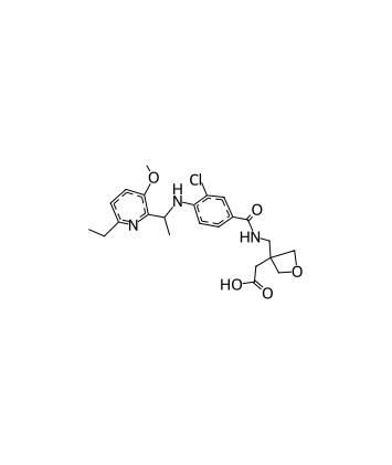 CCc1ccc(OC)c(C(C)Nc2ccc(C(=O)NCC3(CC(=O)O)COC3)cc2Cl)n1